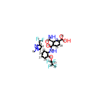 Cn1ccc(C(F)F)n1.NC(=O)c1cc(C(=O)O)ccc1C(=O)Nc1ccccc1OC(F)(F)C(F)F